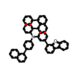 c1ccc(-c2cccc3cccc(-c4ccccc4N(c4ccc(-c5cccc6ccccc56)cc4)c4cccc(-c5cccc6c5oc5ccccc56)c4)c23)cc1